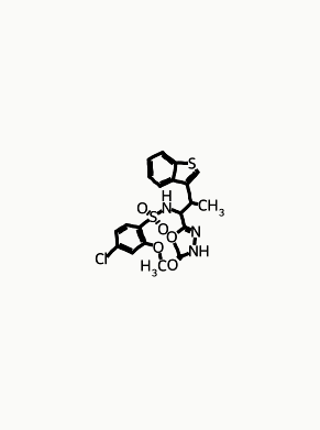 COc1cc(Cl)ccc1S(=O)(=O)NC(c1n[nH]c(=O)o1)C(C)c1csc2ccccc12